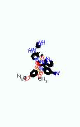 CCOc1ncccc1C1(NC(=O)N2CCC(NC3CNC3)CC2)C(=O)N(S(=O)(=O)c2ccc(OC)cc2OC)c2ccc(C#N)cc21